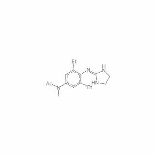 CCc1cc(N(C)C(C)=O)cc(CC)c1N=C1NCCN1